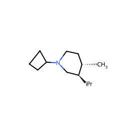 CC(C)[C@H]1CN(C2CCC2)CC[C@@H]1C